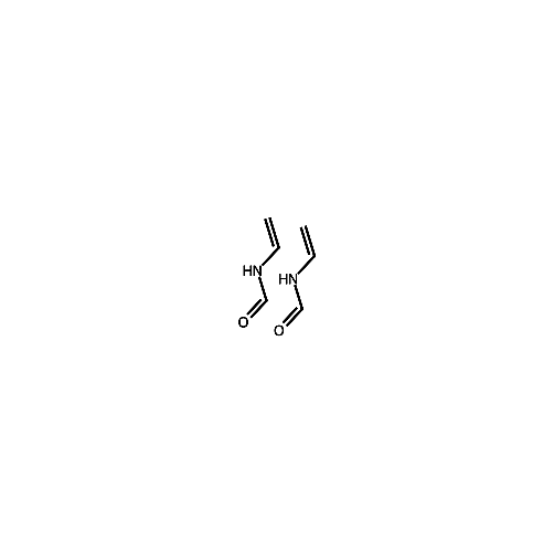 C=CNC=O.C=CNC=O